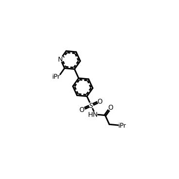 CC(C)CC(=O)NS(=O)(=O)c1ccc(-c2cccnc2C(C)C)cc1